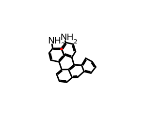 Nc1ccc(-c2cccc3cc4ccccc4c(-c4ccc(N)cc4)c23)cc1